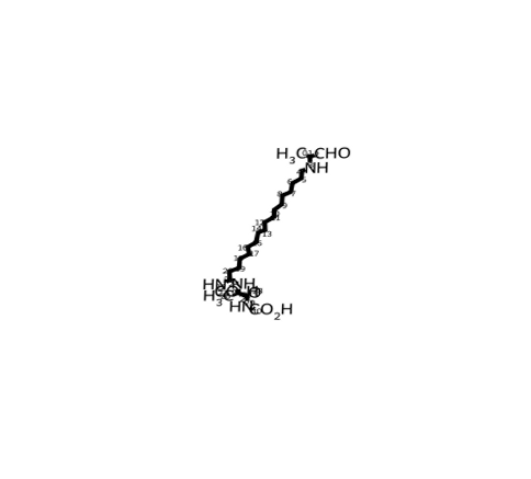 CC(C=O)NCCCCCCCCCCCCCCCCCC(NC(=O)O)N[C@@H](C)C(=O)NC(=O)O